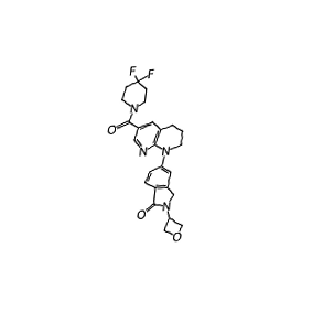 O=C(c1cnc2c(c1)CCCN2c1ccc2c(c1)CN(C1COC1)C2=O)N1CCC(F)(F)CC1